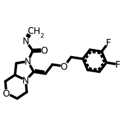 C=NC(=O)N1CC2COCCN2/C1=C/COCc1ccc(F)c(F)c1